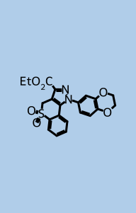 CCOC(=O)c1nn(-c2ccc3c(c2)OCCO3)c2c1CS(=O)(=O)c1ccccc1-2